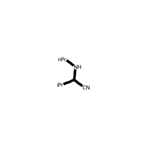 CCCNC(C#N)C(C)C